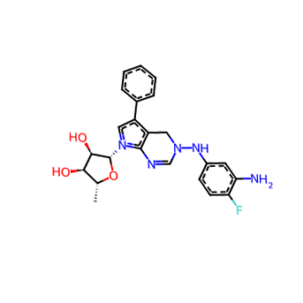 C[C@H]1O[C@@H](n2cc(-c3ccccc3)c3c2N=CN(Nc2ccc(F)c(N)c2)C3)[C@H](O)[C@@H]1O